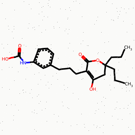 CCCC1(CCC)CC(O)=C(CCCc2cccc(NC(=O)O)c2)C(=O)O1